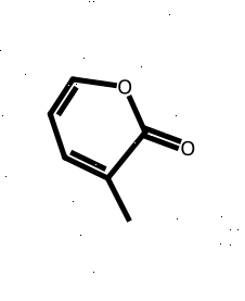 Cc1cccoc1=O